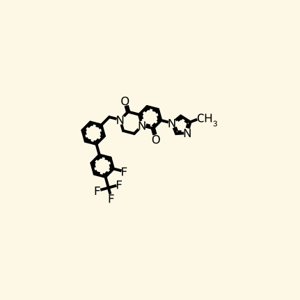 Cc1cn(-c2ccc3n(c2=O)CCN(Cc2cccc(-c4ccc(C(F)(F)F)c(F)c4)c2)C3=O)cn1